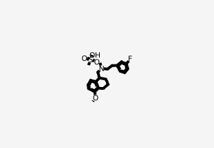 COc1cccc2c1CCCC2CN(C)CCc1cccc(F)c1.CS(=O)(=O)O